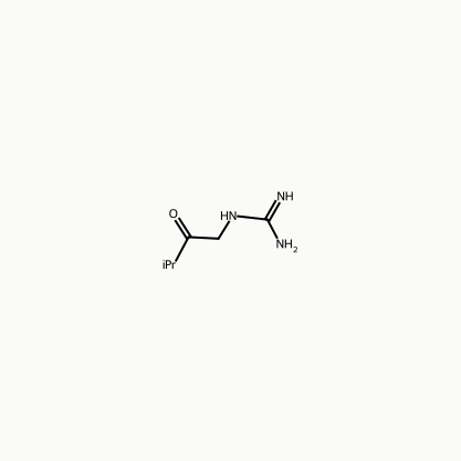 CC(C)C(=O)CNC(=N)N